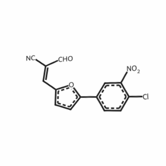 N#CC(C=O)=Cc1ccc(-c2ccc(Cl)c([N+](=O)[O-])c2)o1